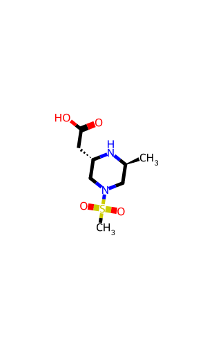 C[C@H]1CN(S(C)(=O)=O)C[C@H](CC(=O)O)N1